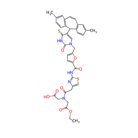 CCOC(=O)CN(CC(=O)O)C(=O)Cc1csc(NC(=O)c2ccc(Cn3cc(C4c5ccc(C)cc5C=Cc5cc(C)ccc54)c(=S)[nH]c3=O)o2)n1